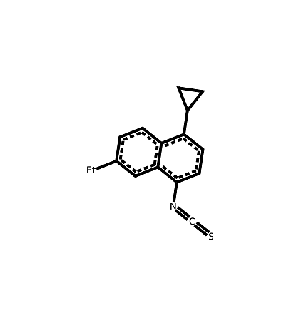 CCc1ccc2c(C3CC3)ccc(N=C=S)c2c1